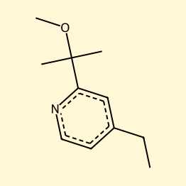 CCc1ccnc(C(C)(C)OC)c1